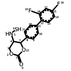 O=C1OCC(NS)C(c2ccc(-c3ccc(F)cc3F)cc2)O1